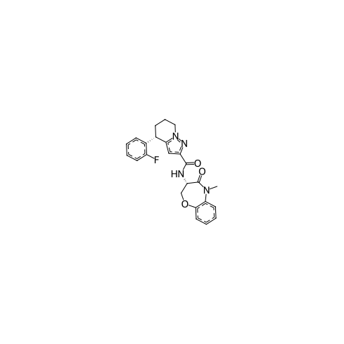 CN1C(=O)[C@@H](NC(=O)c2cc3n(n2)CCC[C@H]3c2ccccc2F)COc2ccccc21